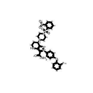 NC(=O)c1c2c(nn1-c1ccc(Oc3ccccc3F)cc1)[C@H](N1CCN(S(=O)(=O)c3ccccc3[N+](=O)[O-])CC1)CCN2